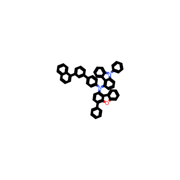 c1ccc(-c2ccc(N(c3ccc(-c4cccc(-c5cccc6ccccc56)c4)cc3)c3cccc4c3c3ccccc3n4-c3ccccc3)c3c2oc2ccccc23)cc1